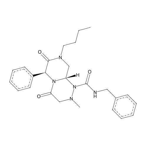 CCCCN1C[C@H]2N(C(=O)CN(C)N2C(=O)NCc2ccccc2)[C@@H](c2ccccc2)C1=O